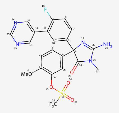 COc1ccc(C2(c3ccc(F)c(-c4cncnc4)c3)N=C(N)N(C)C2=O)cc1OS(=O)(=O)C(F)(F)F